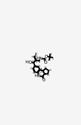 CC(C)(C)OC(=O)NC/C(=C\F)C(O)c1ccc2c(c1)C1CCCC1C(=O)N2